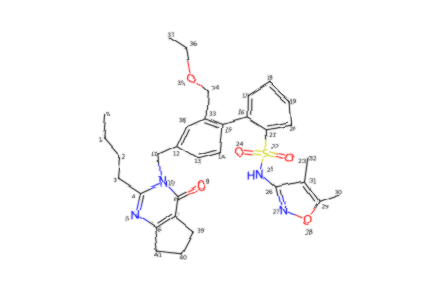 CCCCc1nc2c(c(=O)n1Cc1ccc(-c3ccccc3S(=O)(=O)Nc3noc(C)c3C)c(COCC)c1)CCC2